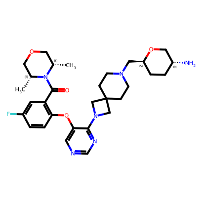 C[C@@H]1COC[C@H](C)N1C(=O)c1cc(F)ccc1Oc1cncnc1N1CC2(CCN(C[C@@H]3CC[C@@H](N)CO3)CC2)C1